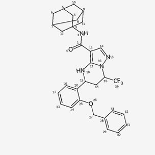 O=C(NC12CC3CC(CC(C3)C1)C2)c1cnn2c1NC(c1ccccc1OCc1ccccc1)CC2C(F)(F)F